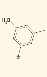 Bc1cc(C)cc(Br)c1